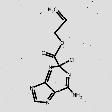 C=CCOC(=O)C1(Cl)N=C(N)C2=NC=NC2=N1